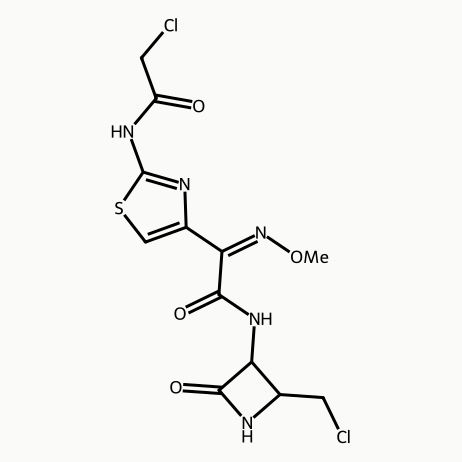 CON=C(C(=O)NC1C(=O)NC1CCl)c1csc(NC(=O)CCl)n1